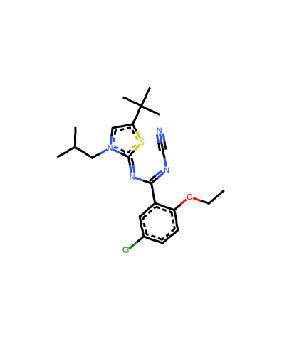 CCOc1ccc(Cl)cc1C(=NC#N)/N=c1\sc(C(C)(C)C)cn1CC(C)C